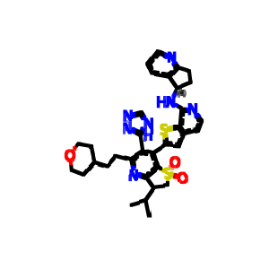 CC(C)C1CS(=O)(=O)c2c1nc(CCC1CCOCC1)c(-c1nnc[nH]1)c2-c1cc2ccnc(N[C@@H]3CCc4ncccc43)c2s1